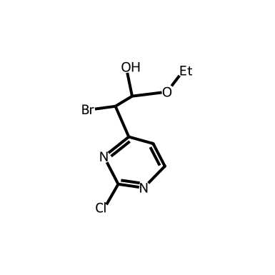 CCOC(O)C(Br)c1ccnc(Cl)n1